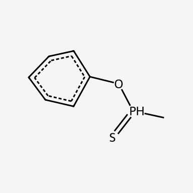 C[PH](=S)Oc1ccccc1